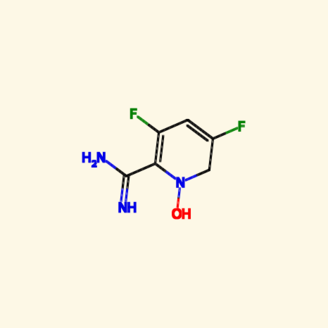 N=C(N)C1=C(F)C=C(F)CN1O